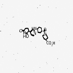 O=C1CCC(c2ccnc(N[C@H]3CC[C@H](C(=O)N4CCC(C(=O)O)CC4)CC3)c2)C(=O)N1